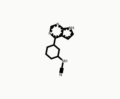 N#CNC1CCCC(c2ncnc3[nH]ccc23)C1